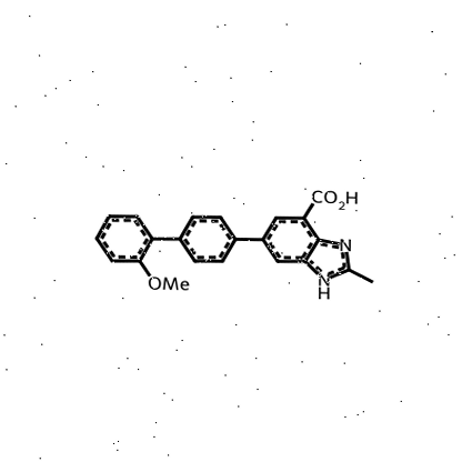 COc1ccccc1-c1ccc(-c2cc(C(=O)O)c3nc(C)[nH]c3c2)cc1